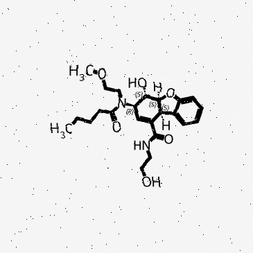 CCCCC(=O)N(CCOC)[C@@H]1C=C(C(=O)NCCO)[C@@H]2c3ccccc3O[C@@H]2[C@H]1O